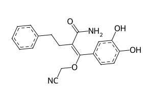 N#CCOC(=C(CCc1ccccc1)C(N)=O)c1ccc(O)c(O)c1